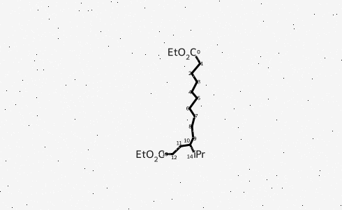 CCOC(=O)CCCCCCCCCC(CCC(=O)OCC)C(C)C